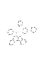 CC1(C)c2ccccc2-c2c1c1c(c3cnccc3n1-c1nc(-c3ccccc3)cc(-c3ccccc3)n1)c1ncccc21